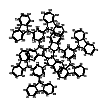 c1ccc2c(c1)N1B(N3B(N4B1N(c1nc(-n5c6ccccc6c6ccccc65)nc(-n5c6ccccc6c6ccccc65)n1)c1ccccc14)N(c1nc(-n4c5ccccc5c5ccccc54)nc(-n4c5ccccc5c5ccccc54)n1)c1ccccc13)N2c1nc(-n2c3ccccc3c3ccccc32)nc(-n2c3ccccc3c3ccccc32)n1